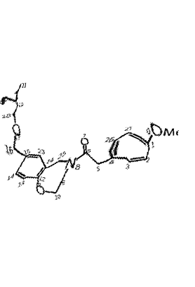 COc1ccc(CC(=O)N2CCOc3ccc(COCCN(C)C)cc3C2)cc1